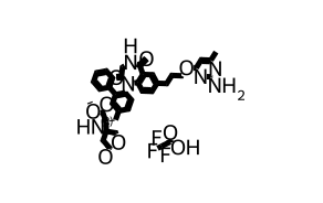 COC(=O)[C@]1(Cc2ccc(N3C(=O)CNC(=O)c4cc(CCCOc5cc(C)nc(N)n5)ccc43)c(-c3ccccc3)c2)NC1(C=O)CC=O.O=C(O)C(F)(F)F